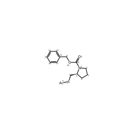 CC(=O)SC[C@@H]1CCCN1C(=O)OCc1ccccc1